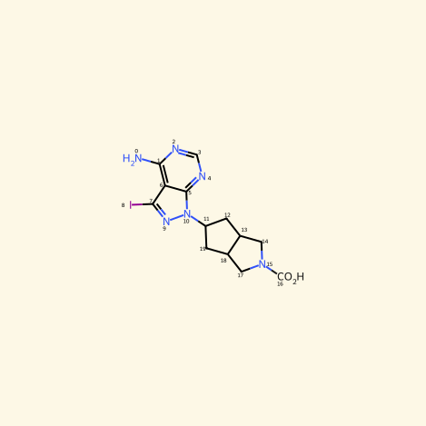 Nc1ncnc2c1c(I)nn2C1CC2CN(C(=O)O)CC2C1